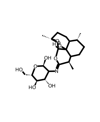 C[C@@H]1CCC2[C@@H](C)/C(=N/C3[C@H](O)O[C@@H](CO)[C@H](O)[C@H]3O)O[C@@H]3O[C@]4(C)CCC1C23OO4